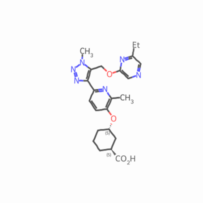 CCc1cncc(OCc2c(-c3ccc(O[C@H]4CCC[C@H](C(=O)O)C4)c(C)n3)nnn2C)n1